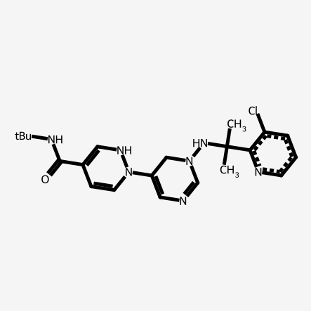 CC(C)(C)NC(=O)C1=CNN(C2=CN=CN(NC(C)(C)c3ncccc3Cl)C2)C=C1